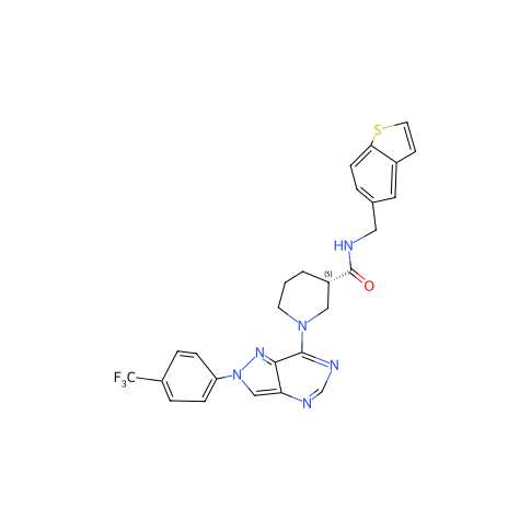 O=C(NCc1ccc2sccc2c1)[C@H]1CCCN(c2ncnc3cn(-c4ccc(C(F)(F)F)cc4)nc23)C1